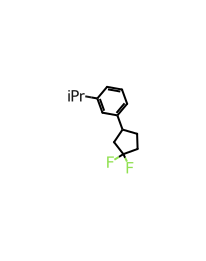 CC(C)c1cccc(C2CCC(F)(F)C2)c1